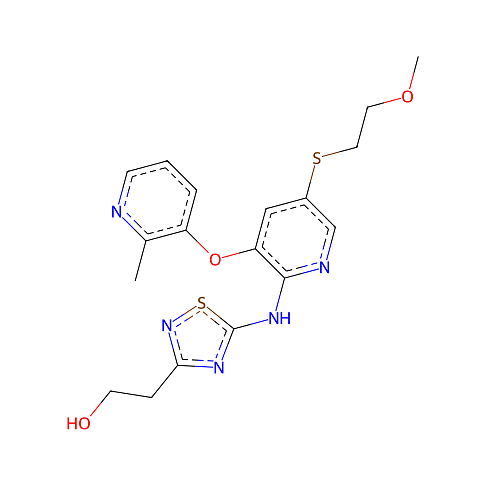 COCCSc1cnc(Nc2nc(CCO)ns2)c(Oc2cccnc2C)c1